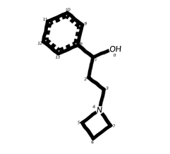 OC(CCN1CCC1)c1ccccc1